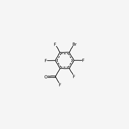 O=C(F)c1c(F)c(F)c(Br)c(F)c1F